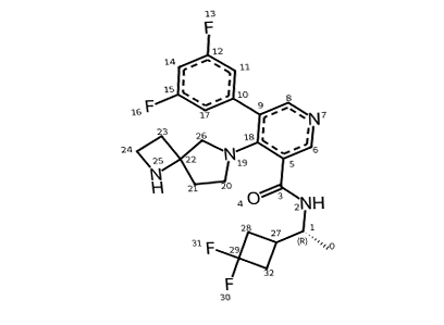 C[C@@H](NC(=O)c1cncc(-c2cc(F)cc(F)c2)c1N1CCC2(CCN2)C1)C1CC(F)(F)C1